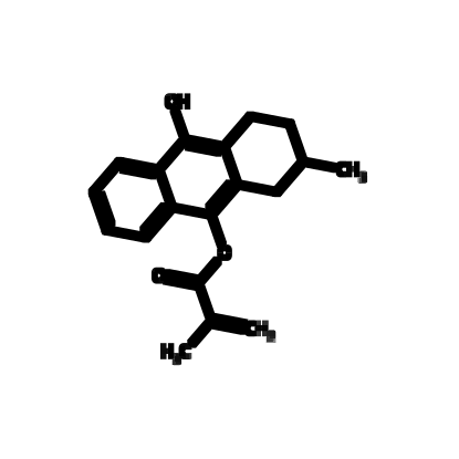 C=C(C)C(=O)Oc1c2c(c(O)c3ccccc13)CCC(C)C2